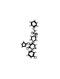 O=c1c(OC2CCCC2)c(N2CCN(S(=O)(=O)CSc3ccccc3)CC2)cnn1-c1cccc(Cl)c1